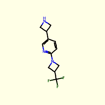 FC(F)(F)C1CN(c2ccc(C3CNC3)cn2)C1